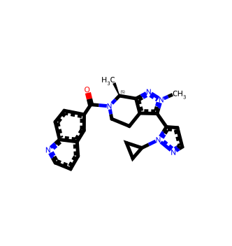 C[C@H]1c2nn(C)c(-c3ccnn3C3CC3)c2CCN1C(=O)c1ccc2ncccc2c1